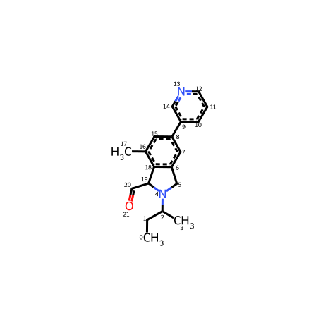 CCC(C)N1Cc2cc(-c3cccnc3)cc(C)c2C1C=O